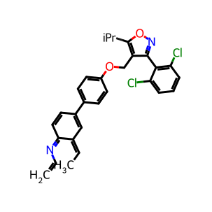 C=C/N=C1/C=CC(c2ccc(OCc3c(-c4c(Cl)cccc4Cl)noc3C(C)C)cc2)=C/C1=C/C